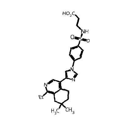 CCc1ncc(-c2cn(-c3ccc(S(=O)(=O)NCCC(=O)O)cc3)cn2)c2c1CC(C)(C)CC2